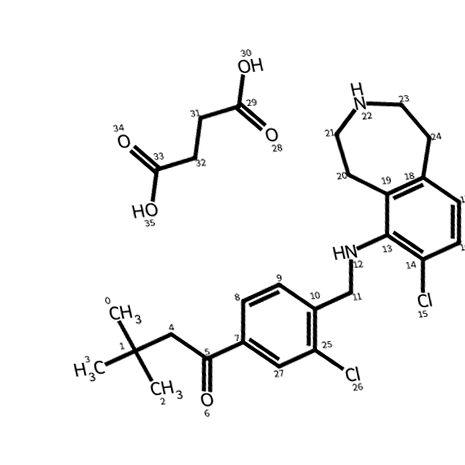 CC(C)(C)CC(=O)c1ccc(CNc2c(Cl)ccc3c2CCNCC3)c(Cl)c1.O=C(O)CCC(=O)O